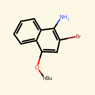 CCCCOc1cc(Br)c(N)c2ccccc12